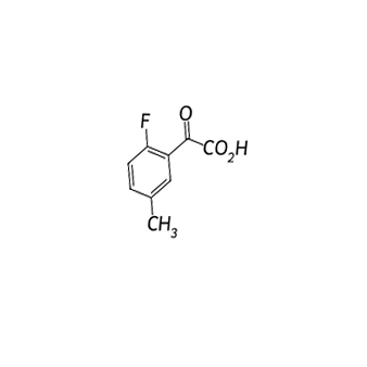 Cc1ccc(F)c(C(=O)C(=O)O)c1